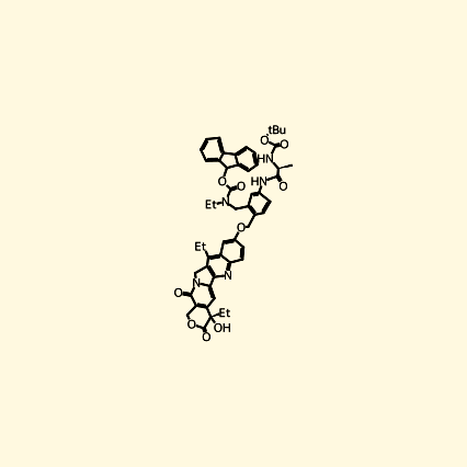 CCc1c2c(nc3ccc(OCc4ccc(NC(=O)[C@H](C)NC(=O)OC(C)(C)C)cc4CN(CC)C(=O)OC4c5ccccc5-c5ccccc54)cc13)-c1cc3c(c(=O)n1C2)COC(=O)[C@]3(O)CC